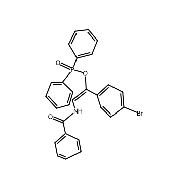 O=C(NC=C(OP(=O)(c1ccccc1)c1ccccc1)c1ccc(Br)cc1)c1ccccc1